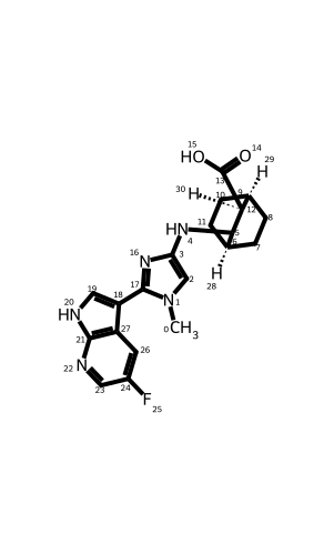 Cn1cc(NC2[C@H]3CC[C@H](CC3)[C@@H]2C(=O)O)nc1-c1c[nH]c2ncc(F)cc12